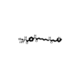 CCCN(NC(=O)c1ccc(NC(=O)CCCCCCNC(=O)/C=C/c2cccnc2)cc1)C(C)(C)C